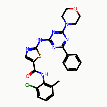 Cc1cccc(Cl)c1NC(=O)c1cnc(Nc2nc(-c3ccccc3)nc(N3CCOCC3)n2)s1